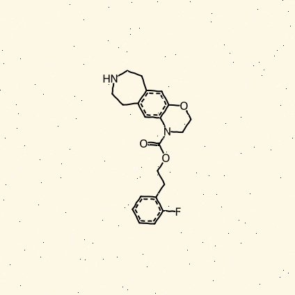 O=C(OCCc1ccccc1F)N1CCOc2cc3c(cc21)CCNCC3